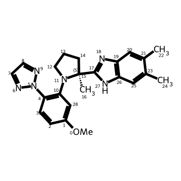 COc1c[c]c(-n2nccn2)c(N2CCC[C@@]2(C)c2nc3cc(C)c(C)cc3[nH]2)c1